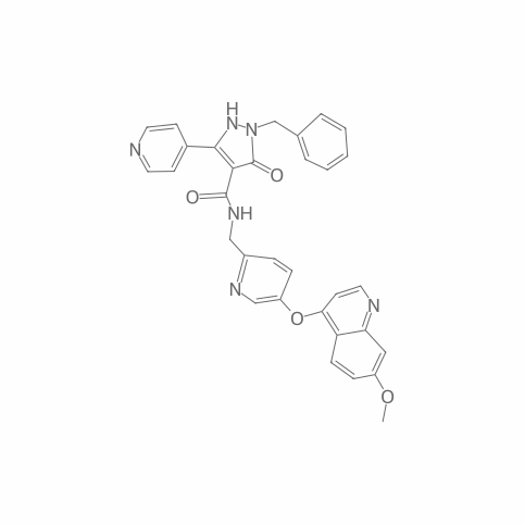 COc1ccc2c(Oc3ccc(CNC(=O)c4c(-c5ccncc5)[nH]n(Cc5ccccc5)c4=O)nc3)ccnc2c1